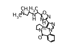 CC(NCCN(C)C)c1nc(-c2ncn3c2[C@@H]2CCCN2C(=O)c2ccccc2-3)no1